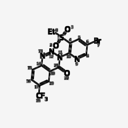 CCS(=O)(=O)c1cc(Br)cnc1-n1nnc2ccc(C(F)(F)F)cc2c1=O